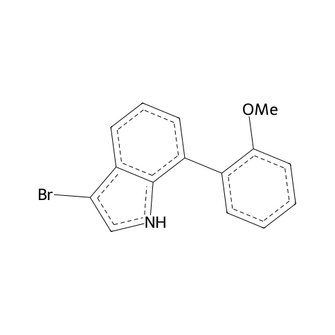 COc1ccccc1-c1cccc2c(Br)c[nH]c12